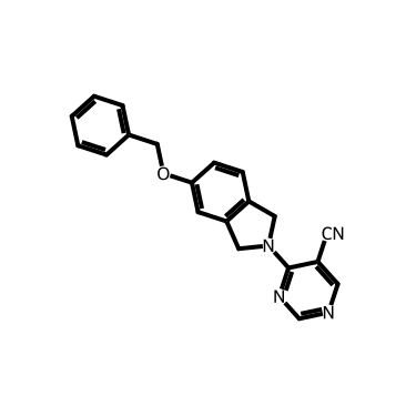 N#Cc1cncnc1N1Cc2ccc(OCc3ccccc3)cc2C1